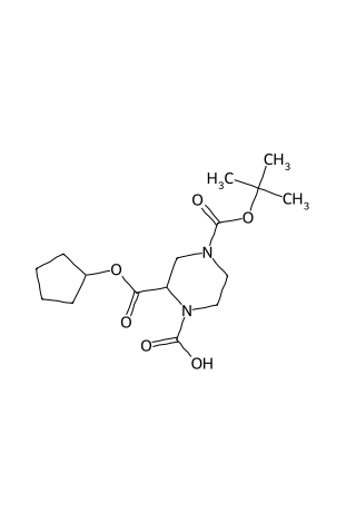 CC(C)(C)OC(=O)N1CCN(C(=O)O)C(C(=O)OC2CCCC2)C1